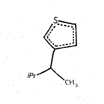 CC(C)C(C)c1ccsc1